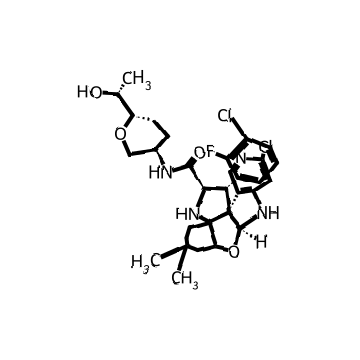 C[C@@H](O)[C@@H]1CC[C@@H](NC(=O)[C@@H]2NC34CCC(C)(C)CC3O[C@@H]3Nc5cc(Cl)ncc5[C@]34[C@H]2c2cccc(Cl)c2F)CO1